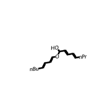 CCCC=CC=CC(O)OC=CC=CCCCC